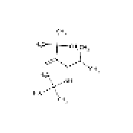 CC(C)[C@H](NC(C)(C)C)C(=O)C(C)(C)C